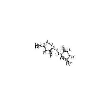 N#Cc1ccc(COc2nc(Br)ccc2F)c(F)c1